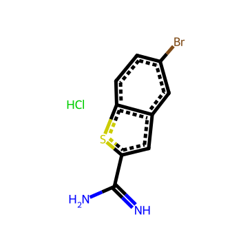 Cl.N=C(N)c1cc2cc(Br)ccc2s1